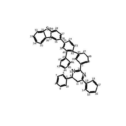 C1=C(C2=NC(c3ccccc3)CC(c3ccccc3)=N2)C=C(c2ccc(-c3ccc4sc5ccccc5c4c3)cc2-c2ccccc2)CC1